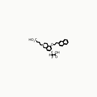 O=C(O)C(F)(F)F.O=C(O)CCCN1CCc2c(cccc2OCCc2ccc3ccccc3c2)C1